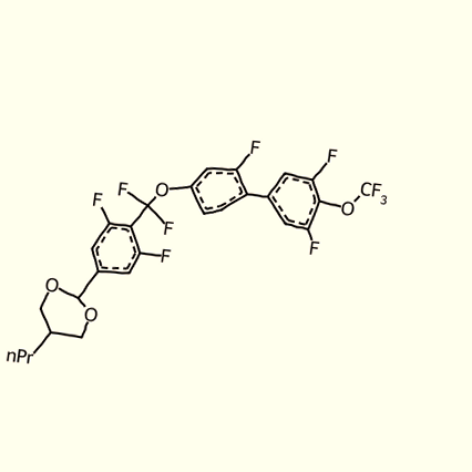 CCCC1COC(c2cc(F)c(C(F)(F)Oc3ccc(-c4cc(F)c(OC(F)(F)F)c(F)c4)c(F)c3)c(F)c2)OC1